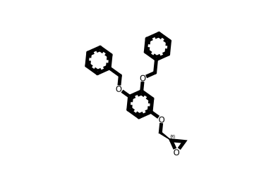 c1ccc(COc2ccc(OC[C@H]3CO3)cc2OCc2ccccc2)cc1